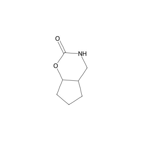 O=C1NCC2CCCC2O1